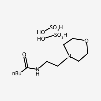 CCCCC(=O)NCCN1CCOCC1.O=S(=O)(O)O.O=S(=O)(O)O